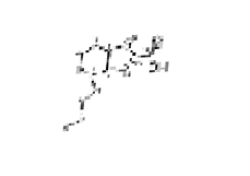 CCCC=C1CCCc2sc(C(=O)O)cc21